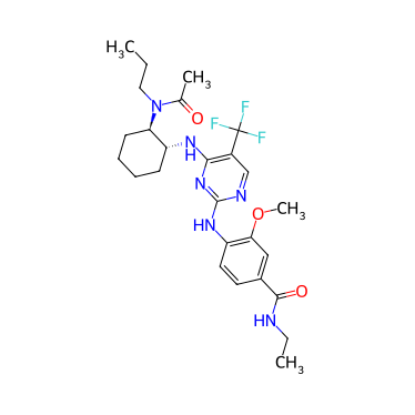 CCCN(C(C)=O)[C@@H]1CCCC[C@H]1Nc1nc(Nc2ccc(C(=O)NCC)cc2OC)ncc1C(F)(F)F